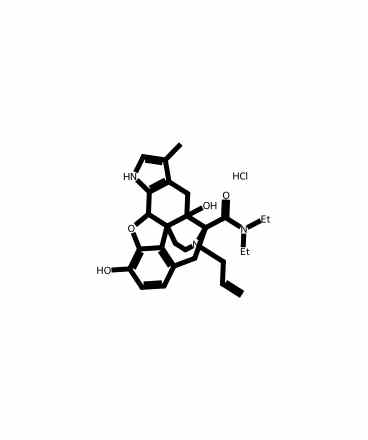 C=CCN1CCC23c4c5ccc(O)c4OC2c2[nH]cc(C)c2CC3(O)C1(C(=O)N(CC)CC)C5.Cl